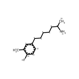 Cc1cc(CCCCCC(C)N)ccc1F